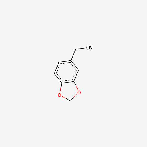 N#C[CH]c1ccc2c(c1)OCO2